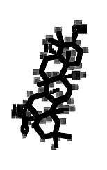 CC1(C)CC[C@]2(C(=O)O)C(O)C[C@]3(C)C(=CC[C@@H]4[C@@]5(C)CC[C@H](O)C(C)(C)[C@@H]5CC[C@]43C)[C@@H]2C1